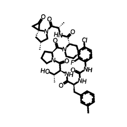 Cc1cccc(C[C@H](NC(=O)Nc2ccc(Cl)cc2F)C(=O)N[C@H](C(=O)N2CCC[C@H]2C(=O)N2CCSC[C@H]2C(=O)N[C@@H](C)C(=O)N2C[C@H](C)C[C@@]23CC3=O)[C@H](C)O)c1